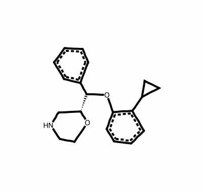 c1ccc(C(Oc2ccccc2C2CC2)[C@H]2CNCCO2)cc1